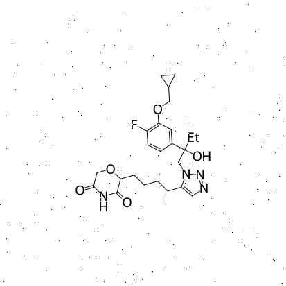 CCC(O)(Cn1nncc1CCCCC1OCC(=O)NC1=O)c1ccc(F)c(OCC2CC2)c1